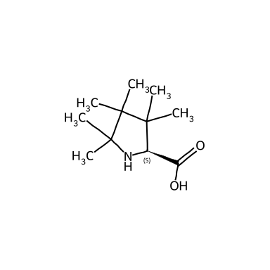 CC1(C)N[C@H](C(=O)O)C(C)(C)C1(C)C